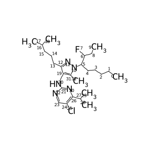 CCCCCC(C(F)CC)n1nc(CCCC(C)C)c(Nc2ncc(Cl)c(C(C)C)n2)c1C